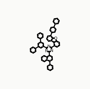 c1ccc(-c2ccc(-c3cccc4c3oc3cccc(-c5nc(-c6cc(-c7ccccc7)cc(-c7ccccc7)c6)nc(-c6ccc(-c7ccccc7)c7ccccc67)n5)c34)cc2)cc1